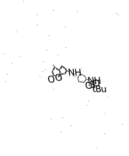 Cc1cc(=O)oc2cc(NC[C@H]3CC[C@H](NS(=O)(=O)C(C)(C)C)CC3)ccc12